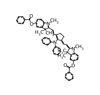 CN1/C(=C/C=C2\CCC(/C=C/C3=[N+](C)c4ccc(OC(=O)c5ccccc5)cc4C3(C)C)=C2N(c2ccccc2)c2ccccc2)C(C)(C)c2cc(OC(=O)c3ccccc3)ccc21